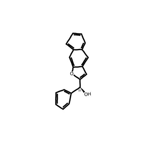 O[C@@H](c1ccccc1)c1cc2cc3ccccc3cc2o1